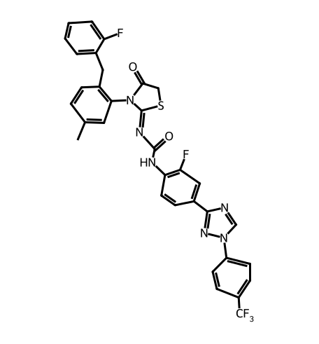 Cc1ccc(Cc2ccccc2F)c(N2C(=O)CSC2=NC(=O)Nc2ccc(-c3ncn(-c4ccc(C(F)(F)F)cc4)n3)cc2F)c1